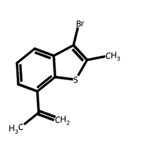 C=C(C)c1cccc2c(Br)c(C)sc12